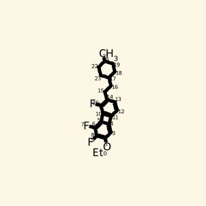 CCOc1cc2c(c(F)c1F)-c1c-2ccc(CCC2CCC(C)CC2)c1F